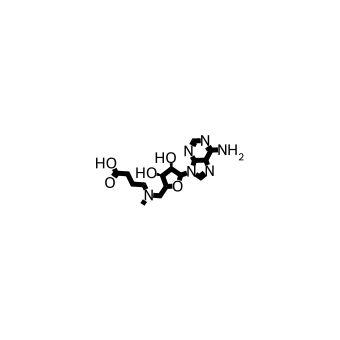 CN(CCCC(=O)O)CC1OC(N2C=NC3C(N)=NC=NC32)[C@H](O)[C@@H]1O